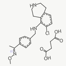 CO/N=C(\C)c1ccc(CNc2c(Cl)ccc3c2CCNCC3)cc1.O=C(O)CCC(=O)O